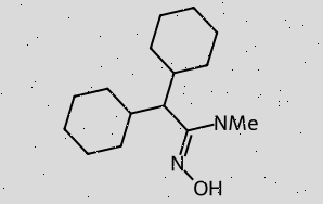 CNC(=NO)C(C1CCCCC1)C1CCCCC1